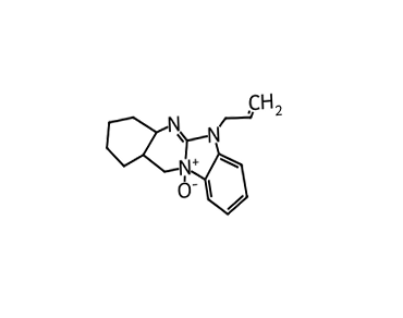 C=CCN1C2=NC3CCCCC3C[N+]2([O-])c2ccccc21